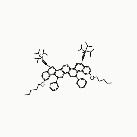 CCCCCOc1ccc2c(C#C[Si](C(C)C)(C(C)C)C(C)C)cc3c4ccc5c(cc(-c6ccccc6)c6c7cc(OCCCCC)ccc7c(C#C[Si](C(C)C)(C(C)C)C(C)C)cc56)c4cc(-c4ccccc4)c3c2c1